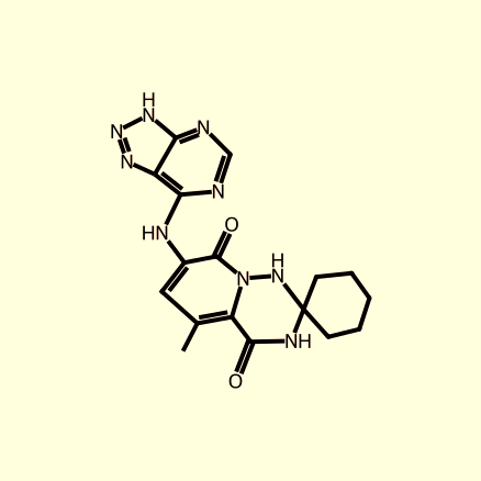 Cc1cc(Nc2ncnc3[nH]nnc23)c(=O)n2c1C(=O)NC1(CCCCC1)N2